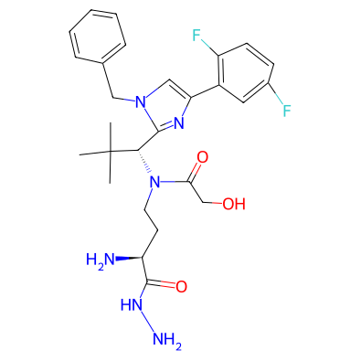 CC(C)(C)[C@H](c1nc(-c2cc(F)ccc2F)cn1Cc1ccccc1)N(CC[C@H](N)C(=O)NN)C(=O)CO